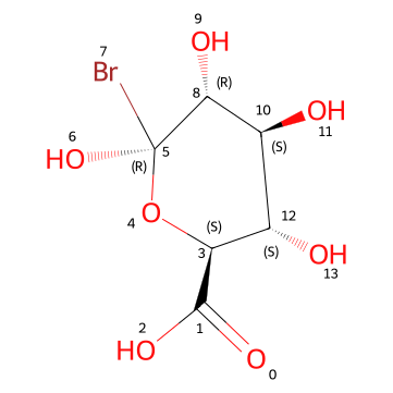 O=C(O)[C@H]1O[C@@](O)(Br)[C@H](O)[C@@H](O)[C@@H]1O